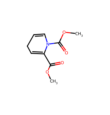 COC(=O)C1=CCC=CN1C(=O)OC